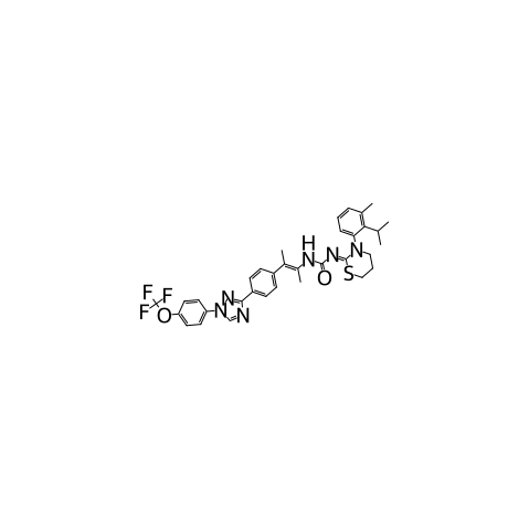 C/C(NC(=O)/N=C1\SCCCN1c1cccc(C)c1C(C)C)=C(/C)c1ccc(-c2ncn(-c3ccc(OC(F)(F)F)cc3)n2)cc1